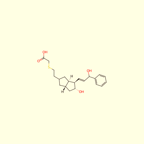 O=C(O)CSCCC1C[C@H]2C[C@@H](O)[C@H](C=CC(O)c3ccccc3)[C@@H]2C1